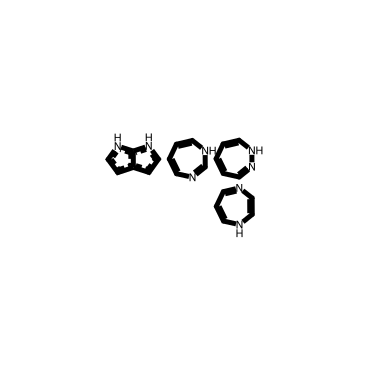 C1=CC=NNC=C1.C1=CN=CNC=C1.C1=CNC=CN=C1.c1cc2cc[nH]c2[nH]1